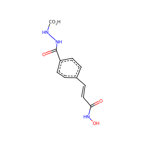 O=C(O)NNC(=O)c1ccc(C=CC(=O)NO)cc1